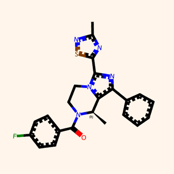 Cc1nsc(-c2nc(-c3ccccc3)c3n2CCN(C(=O)c2ccc(F)cc2)[C@@H]3C)n1